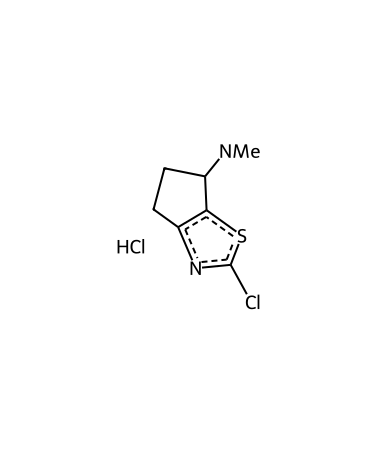 CNC1CCc2nc(Cl)sc21.Cl